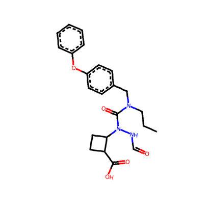 CCCN(Cc1ccc(Oc2ccccc2)cc1)C(=O)N(NC=O)C1CCC1C(=O)O